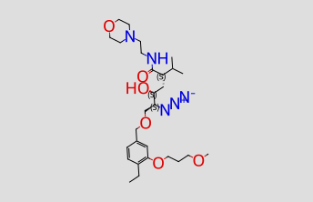 CCc1ccc(COC[C@H](N=[N+]=[N-])[C@@H](O)C[C@H](C(=O)NCCN2CCOCC2)C(C)C)cc1OCCCOC